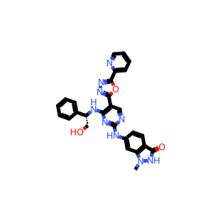 Cn1[nH]c(=O)c2ccc(Nc3ncc(-c4nnc(-c5ccccn5)o4)c(N[C@H](CO)c4ccccc4)n3)cc21